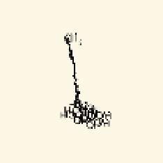 CCCCCCCCCCCCCCCCCCCNC(=O)[C@H](O)[C@@H](O)[C@H](O[C@H]1OC(CO)[C@@H](O)C(O)C1O)[C@H](O)CO